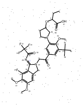 CCC(OC1CCN(c2cc(C(=O)CN3Cc4cc(OC)c(OC)c(F)c4/C3=N/C(=O)C(F)(F)F)cc(C(C)(C)C)c2OC)C1)C(=O)O